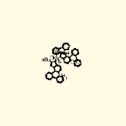 CCCCC1=Cc2c(ccc(C)c2-c2ccccc2-c2ccccc2)[CH]1[Zr]([Cl])([Cl])([c]1cccc2c1[SiH2]c1ccccc1-2)[CH]1C(CCCC)=Cc2c1ccc(C)c2-c1ccccc1-c1ccccc1